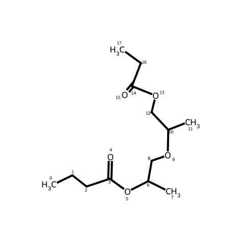 CCCC(=O)OC(C)COC(C)COC(=O)CC